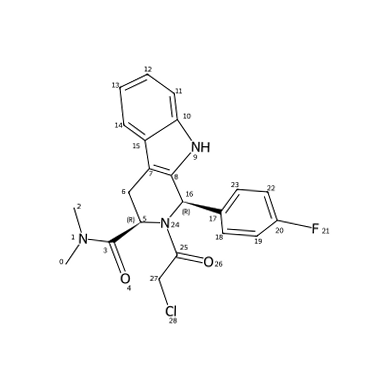 CN(C)C(=O)[C@H]1Cc2c([nH]c3ccccc23)[C@@H](c2ccc(F)cc2)N1C(=O)CCl